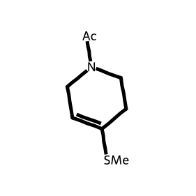 CSC1=CCN(C(C)=O)CC1